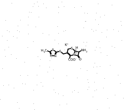 Cc1nnc(SCC2=C(C(=O)[O-])N3C(=O)C(N)[C@@H]3SC2)s1.[K+]